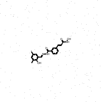 Cc1cc(I)cc(/C=N/NC(=O)c2cccc(/C=C/C(=O)NO)c2)c1O